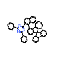 C1=CCC2=C(C=C1)c1c(-c3c(-c4nc(-c5ccccc5)nc(-c5ccccc5)n4)ccc4ccccc34)cccc1C21c2ccccc2-c2ccccc21